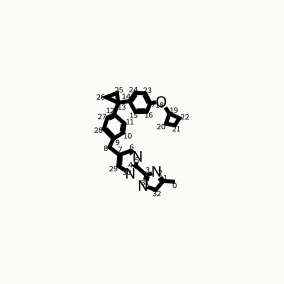 CC1=NC(c2ncc(Cc3ccc(C4(c5ccc(OC6CCC6)cc5)CC4)cc3)cn2)=NC1